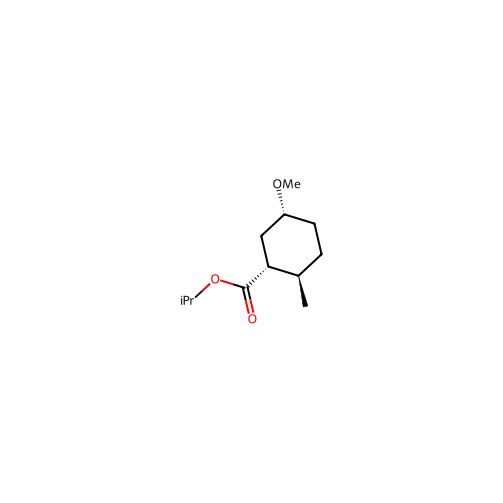 CO[C@@H]1CC[C@@H](C)[C@H](C(=O)OC(C)C)C1